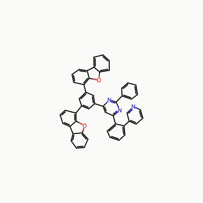 c1ccc(-c2nc(-c3cc(-c4cccc5c4oc4ccccc45)cc(-c4cccc5c4oc4ccccc45)c3)cc(-c3ccccc3-c3cccnc3)n2)cc1